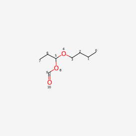 CCCCOC(CC)O[C]=O